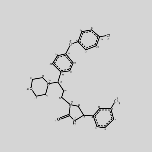 O=C1NC(c2cccc(C(F)(F)F)c2)CN1CCC(c1ccc(Oc2ccc(Cl)cc2)cc1)N1CCOCC1